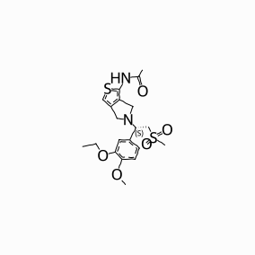 CCOc1cc([C@@H](CS(C)(=O)=O)N2Cc3csc(NC(C)=O)c3C2)ccc1OC